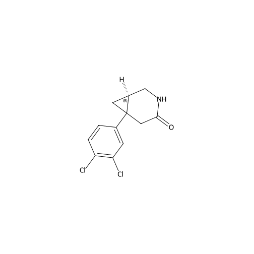 O=C1CC2(c3ccc(Cl)c(Cl)c3)C[C@H]2CN1